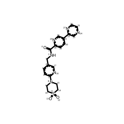 O=C(NCc1ccc(N2CCS(=O)(=O)CC2)nc1)c1ccc(-c2cnccn2)cn1